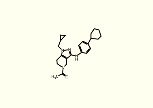 CC(=O)N1CCc2c(c(Nc3ccc(C4CCCCC4)cc3)nn2CC2CC2)C1